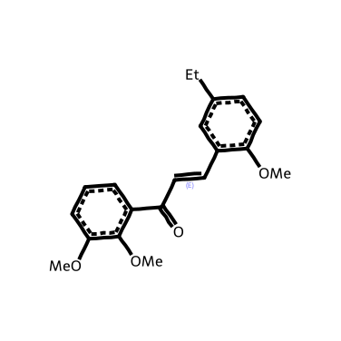 CCc1ccc(OC)c(/C=C/C(=O)c2cccc(OC)c2OC)c1